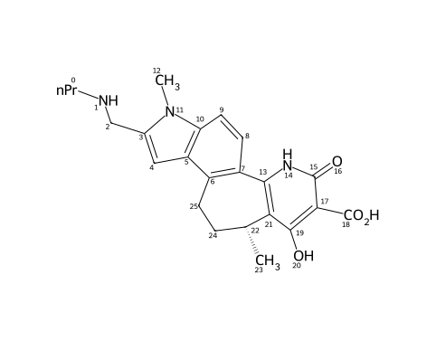 CCCNCc1cc2c3c(ccc2n1C)-c1[nH]c(=O)c(C(=O)O)c(O)c1[C@H](C)CC3